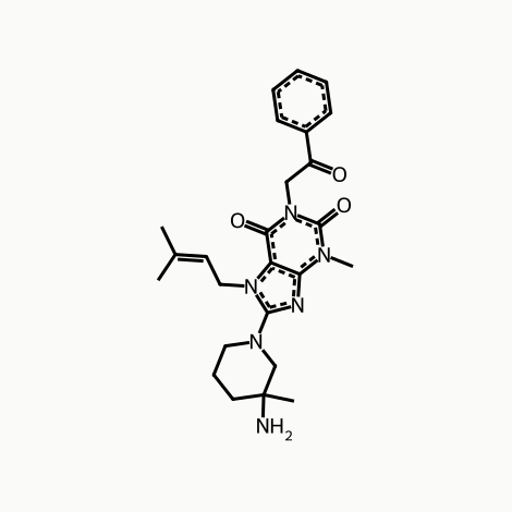 CC(C)=CCn1c(N2CCCC(C)(N)C2)nc2c1c(=O)n(CC(=O)c1ccccc1)c(=O)n2C